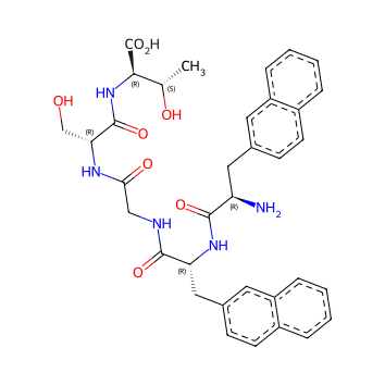 C[C@H](O)[C@@H](NC(=O)[C@@H](CO)NC(=O)CNC(=O)[C@@H](Cc1ccc2ccccc2c1)NC(=O)[C@H](N)Cc1ccc2ccccc2c1)C(=O)O